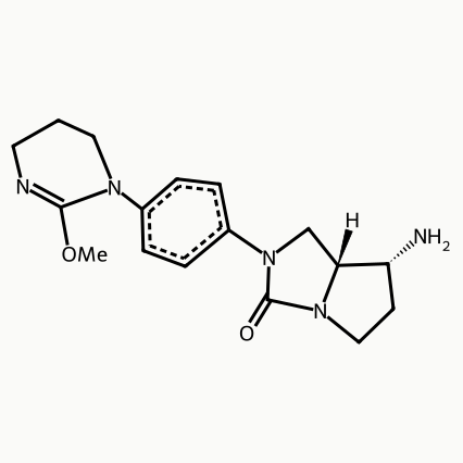 COC1=NCCCN1c1ccc(N2C[C@@H]3[C@H](N)CCN3C2=O)cc1